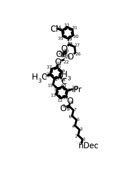 CCCCCCCCCCCCCCCCCC(=O)Oc1ccc(Cc2c(C)cc(OC[P@@]3(=O)OCC[C@@H](c4cccc(Cl)c4)O3)cc2C)cc1C(C)C